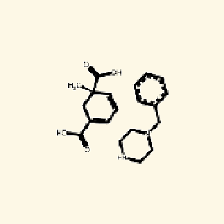 C[C@@]1(C(=O)O)C=CC=C(C(=O)O)C1.c1ccc(CN2CCNCC2)cc1